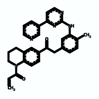 C=CC(=O)N1CCCc2cc(C(=O)Cc3ccc(C)c(Nc4nccc(-c5cccnc5)n4)c3)ccc21